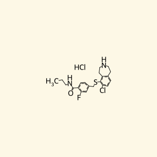 CCCNC(=O)c1ccc(CSc2c(Cl)ccc3c2CCNCC3)cc1F.Cl